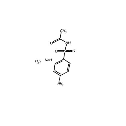 CC(=O)NS(=O)(=O)c1ccc(N)cc1.S.[NaH]